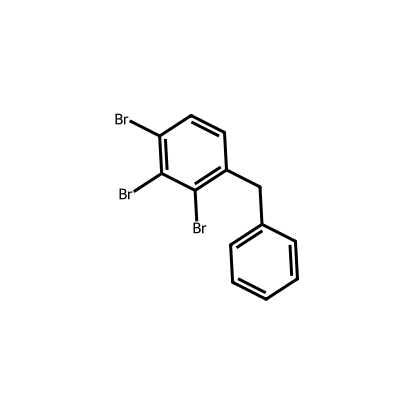 Brc1ccc(Cc2ccccc2)c(Br)c1Br